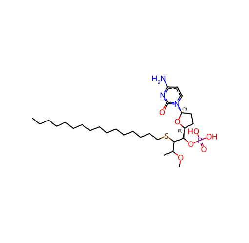 CCCCCCCCCCCCCCCCSC(C(C)OC)C(OP(=O)(O)O)[C@@H]1CC[C@H](n2ccc(N)nc2=O)O1